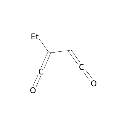 CCC(=C=O)C=C=O